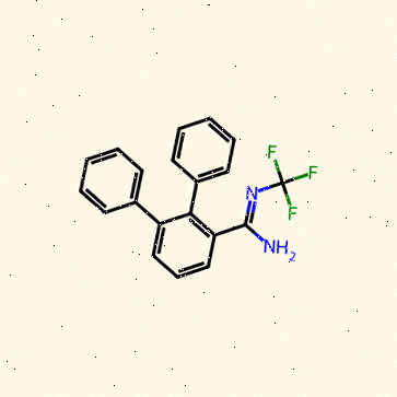 NC(=NC(F)(F)F)c1cccc(-c2ccccc2)c1-c1ccccc1